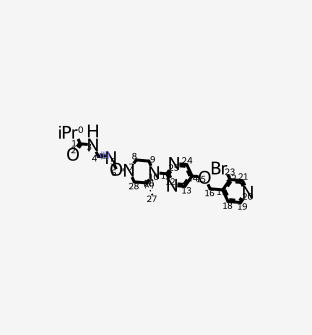 CC(C)C(=O)N/C=N/ON1CCN(c2ncc(OCc3ccncc3Br)cn2)[C@H](C)C1